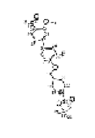 COc1cc(-c2ccc(OCC3CCN(C(=O)OC(C)(C)C)CC3)c(F)c2)ccc1[S@+](C)[O-]